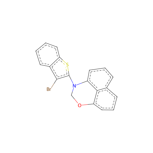 Brc1c(N2COc3cccc4cccc2c34)sc2ccccc12